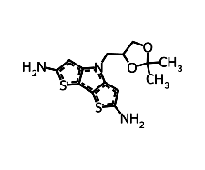 CC1(C)OCC(Cn2c3cc(N)sc3c3sc(N)cc32)O1